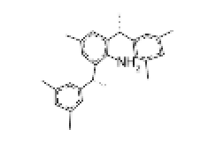 Cc1cc(C)cc([C@@H](C)c2cc(C)cc([C@H](C)c3cc(C)cc(C)c3)c2N)c1